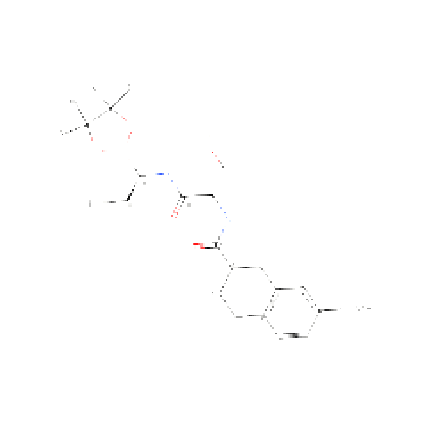 COc1ccc2c(c1)CC(C(=O)N[C@@H](CO)C(=O)N[C@@H](CC(C)C)B1OC(C)(C)C(C)(C)O1)CC2